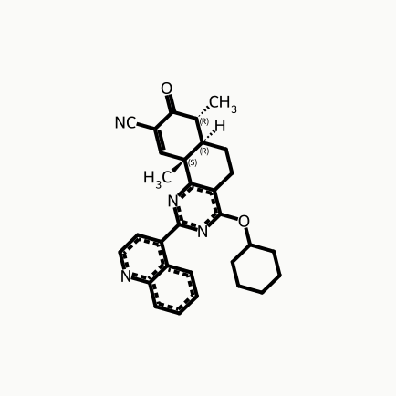 C[C@H]1C(=O)C(C#N)=C[C@@]2(C)c3nc(-c4ccnc5ccccc45)nc(OC4CCCCC4)c3CC[C@H]12